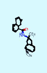 N#Cc1ccc2c(c1)CC(NC(=O)c1cccc3c1CCCC3)(C(=O)O)C2